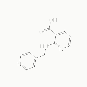 O=C(O)c1cccnc1NCc1ccncc1